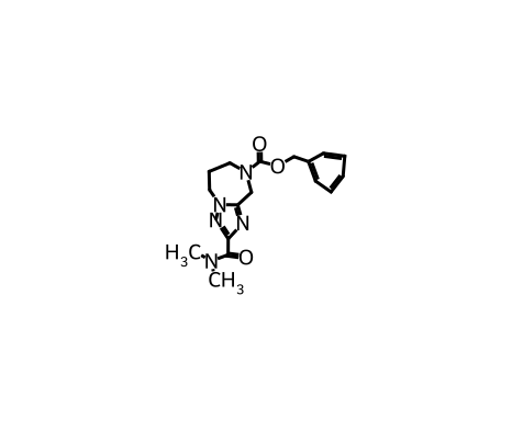 CN(C)C(=O)c1nc2n(n1)CCCN(C(=O)OCc1ccccc1)C2